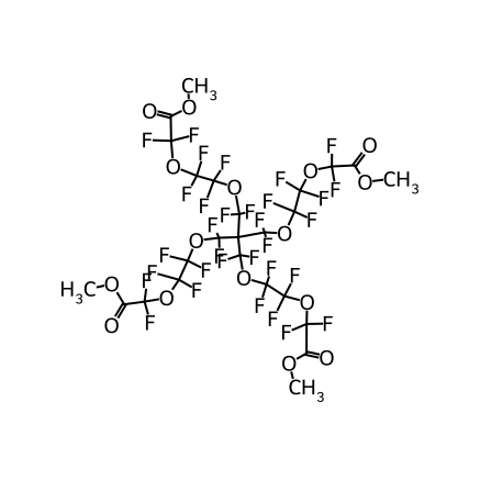 COC(=O)C(F)(F)OC(F)(F)C(F)(F)OC(F)(F)C(C(F)(F)OC(F)(F)C(F)(F)OC(F)(F)C(=O)OC)(C(F)(F)OC(F)(F)C(F)(F)OC(F)(F)C(=O)OC)C(F)(F)OC(F)(F)C(F)(F)OC(F)(F)C(=O)OC